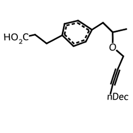 CCCCCCCCCCC#CCOC(C)Cc1ccc(CCC(=O)O)cc1